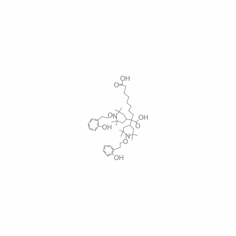 CC1(C)CC(C(CCCCCCCC(=O)O)(C(=O)O)C2CC(C)(C)N(OCCc3ccccc3O)C(C)(C)C2)CC(C)(C)N1OCCc1ccccc1O